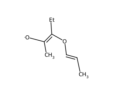 CC=COC(CC)=C(C)[O]